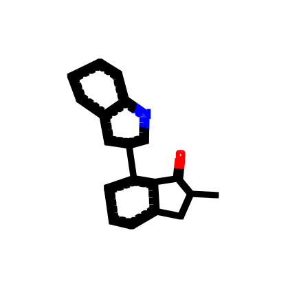 CC1Cc2cccc(-c3cnc4ccccc4c3)c2C1=O